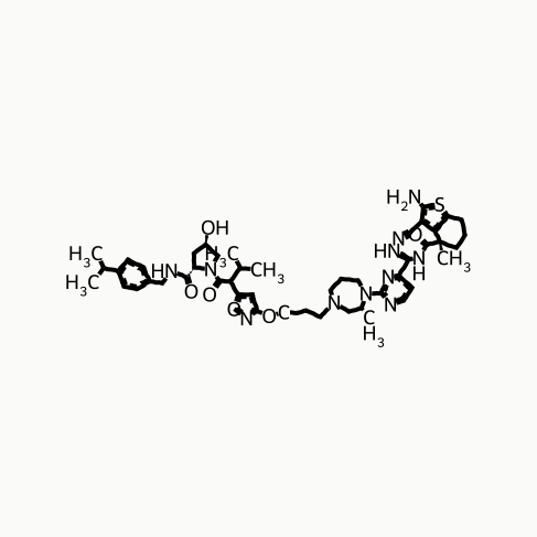 CC(C)c1ccc(CNC(=O)[C@@H]2C[C@@H](O)CN2C(=O)C(c2cc(OCCCCN3CCCN(c4nccc(C(=N)NC(=O)[C@@]5(C)CCCc6sc(N)c(C#N)c65)n4)[C@@H](C)C3)no2)C(C)C)cc1